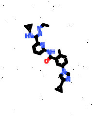 C/C=N\N=C(/NC1CC1)c1cccc(NC(=O)c2cc(-n3cnc(C4CC4)c3)ccc2C)n1